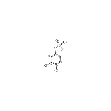 O=S(=O)(F)Cc1ccc(Cl)c(Cl)c1